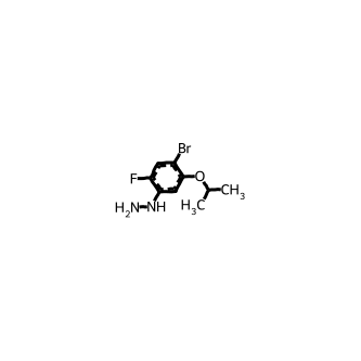 CC(C)Oc1cc(NN)c(F)cc1Br